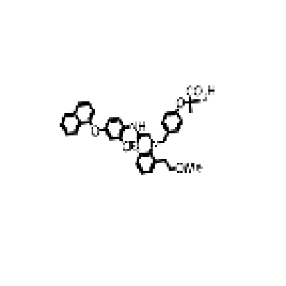 COCCc1ccccc1N(CC(=O)Nc1ccc(Oc2cccc3ccccc23)cc1C(F)(F)F)Cc1ccc(OC(C)(C)C(=O)O)cc1